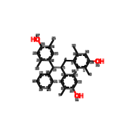 Cc1cc(CC(c2cc(C)c(O)cc2C)C(c2ccccc2)c2cc(C)c(O)cc2C)c(C)cc1O